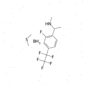 B.CNC(C)c1ccc(C(F)(F)C(F)(F)F)cc1F.CSC